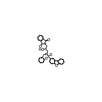 O=C1c2ccccc2C(=O)N1CC(O)CN(Cc1ccccc1)S(=O)(=O)c1ccc2oc3ccccc3c2c1